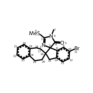 CSC1=NC2(C(=O)N1C)c1cc(Br)ccc1CC21CCc2ccccc2CC1